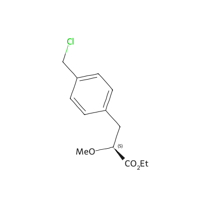 CCOC(=O)[C@H](Cc1ccc(CCl)cc1)OC